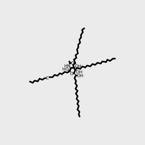 CCCCCCCCCCCCCCCCC(O)[C@H]1OC(O)(CCCCCCCCCCCCCCCC)[C@H](NC(C)=O)[C@](O)(CCCCCCCCCCCCCCCC)[C@@]1(O)CCCCCCCCCCCCCCCC